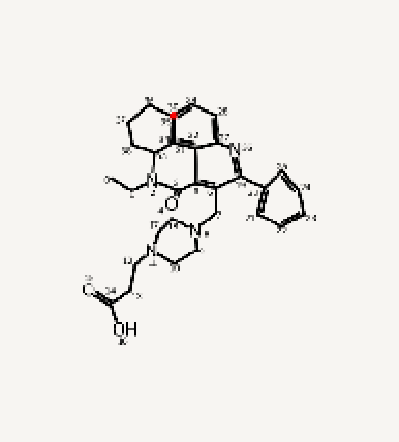 CCN(C(=O)c1c(CN2CCN(CCC(=O)O)CC2)c(-c2ccccc2)nc2ccccc12)C1CCCCC1